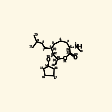 CN[C@H]1CCC[C@H](CCC(C)C)[C@@H](OC2CCCC2)[C@H](C)OC1=O